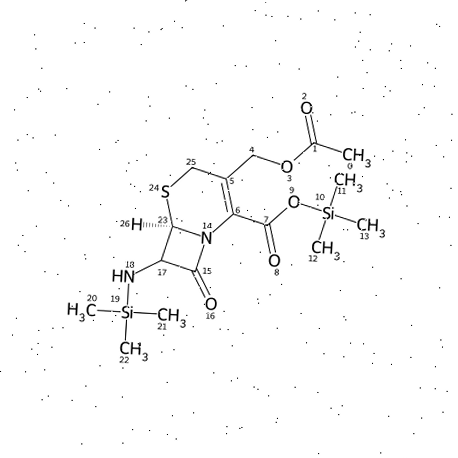 CC(=O)OCC1=C(C(=O)O[Si](C)(C)C)N2C(=O)C(N[Si](C)(C)C)[C@H]2SC1